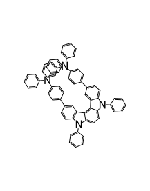 c1ccc(N(c2ccccc2)c2ccc(-c3ccc4c(c3)c3c5c6cc(-c7ccc(N(c8ccccc8)c8ccccc8)cc7)ccc6n(-c6ccccc6)c5ccc3n4-c3ccccc3)cc2)cc1